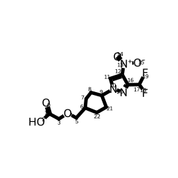 O=C(O)COCC1CCC(n2cc([N+](=O)[O-])c(C(F)F)n2)CC1